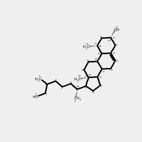 CC(CO)CCC[C@@H](C)C1CCC2C3CC=C4C[C@@H](O)C[C@@H](C)C4C3CC[C@@]21C